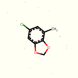 Cc1cc(Cl)cc2c1OCO2